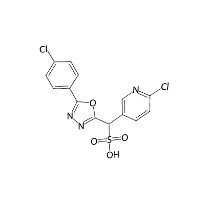 O=S(=O)(O)C(c1ccc(Cl)nc1)c1nnc(-c2ccc(Cl)cc2)o1